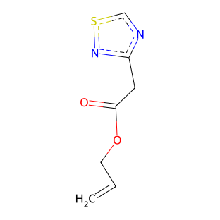 C=CCOC(=O)Cc1ncsn1